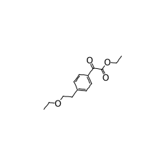 CCOCCc1ccc(C(=O)C(=O)OCC)cc1